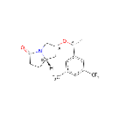 C[C@@H](O[C@@H]1C[C@@H]2CCC(=O)N2C1)c1cc(C(F)(F)F)cc(C(F)(F)F)c1